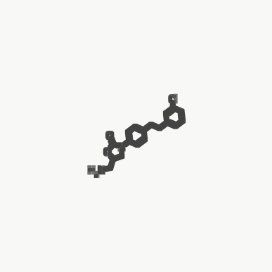 NCC1CN(c2ccc(CCc3cccc(Cl)c3)cc2)C(=O)O1